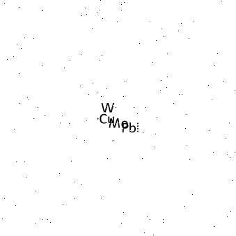 [Cu].[Mo].[Pb].[W]